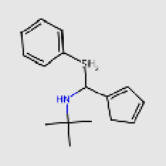 CC(C)(C)NC([SiH2]c1ccccc1)C1=CC=CC1